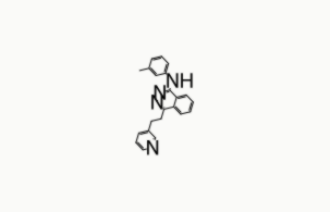 Cc1cccc(Nc2nnc(CCc3cccnc3)c3ccccc23)c1